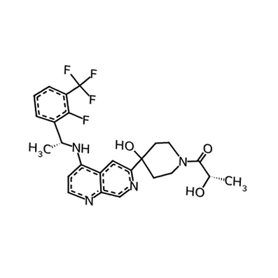 C[C@H](O)C(=O)N1CCC(O)(c2cc3c(N[C@H](C)c4cccc(C(F)(F)F)c4F)ccnc3cn2)CC1